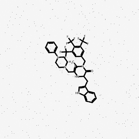 CC(=O)N(Cc1cc(C(F)(F)F)c(C(F)(F)F)c(C(F)(F)F)c1)C(=O)C(Cc1c[nH]c2ccccc12)NC(=O)CN1CCN(c2ccccc2)CC1